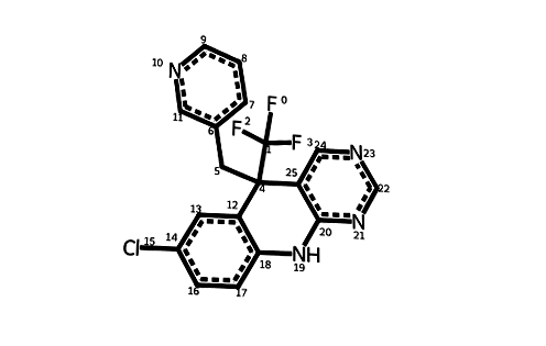 FC(F)(F)C1(Cc2cccnc2)c2cc(Cl)ccc2Nc2ncncc21